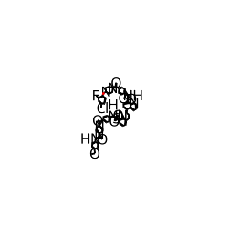 COc1ccc(NC(=O)N2CCN(C(=O)c3ccc(NS(=O)(=O)c4cccc5ccc(-c6ccc(S(=O)(=O)Nc7ccc(C(=O)N8CCN(Cc9ccc(Cl)cc9F)CC8)cc7)c7ncccc67)nc45)cc3)CC2)cc1